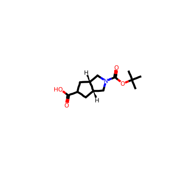 CC(C)(C)OC(=O)N1C[C@H]2CC(C(=O)O)C[C@H]2C1